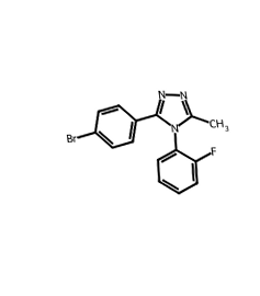 Cc1nnc(-c2ccc(Br)cc2)n1-c1ccccc1F